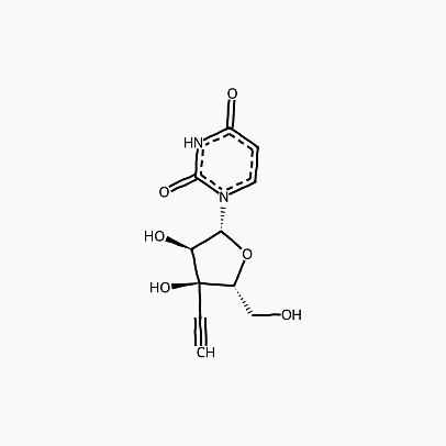 C#C[C@@]1(O)[C@@H](CO)O[C@@H](n2ccc(=O)[nH]c2=O)[C@@H]1O